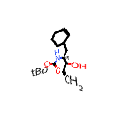 C=CC(O)[C@H](CC1CCCCC1)NC(=O)OC(C)(C)C